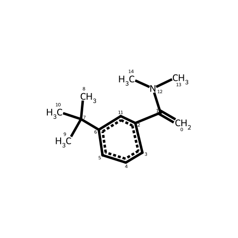 C=C(c1cccc(C(C)(C)C)c1)N(C)C